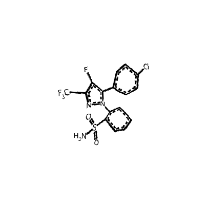 NS(=O)(=O)c1ccccc1-n1nc(C(F)(F)F)c(F)c1-c1ccc(Cl)cc1